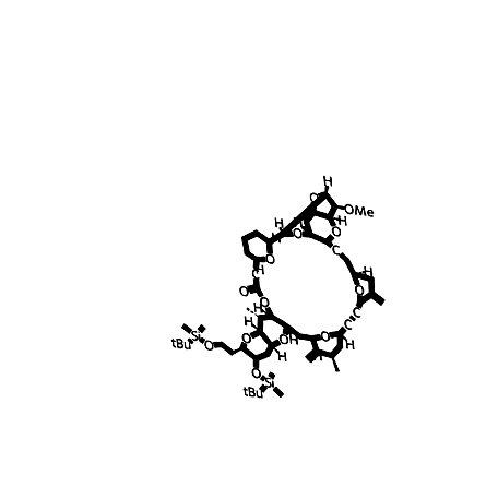 C=C1C[C@@H]2CCC3O[C@H]4C5C[C@H]3O[C@H]([C@H](O5)[C@H]4OC)[C@@H]3CCC[C@H](CC(=O)O[C@@H]4[C@@H](C)[C@@H]5O[C@H](CCO[Si](C)(C)C(C)(C)C)C(O[Si](C)(C)C(C)(C)C)C[C@@H]5O[C@H]4C[C@H]4O[C@@H](CCC1O2)C[C@@H](C)C4=C)O3